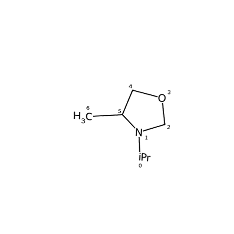 CC(C)N1COCC1C